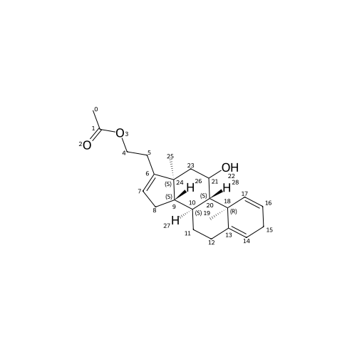 CC(=O)OCCC1=CC[C@H]2[C@@H]3CCC4=CCC=C[C@]4(C)[C@H]3C(O)C[C@]12C